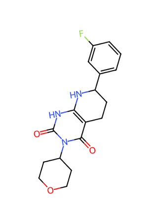 O=c1[nH]c2c(c(=O)n1C1CCOCC1)CCC(c1cccc(F)c1)N2